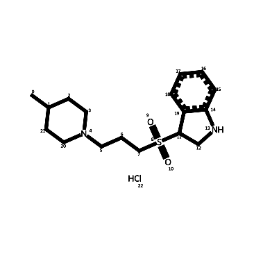 CC1CCN(CCCS(=O)(=O)C2CNc3ccccc32)CC1.Cl